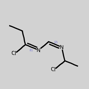 CC/C(Cl)=N\C=N/C(C)Cl